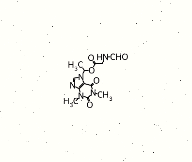 CC(OC(=O)CNC=O)n1cnc2c1c(=O)n(C)c(=O)n2C